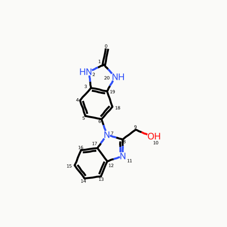 C=C1Nc2ccc(-n3c(CO)nc4ccccc43)cc2N1